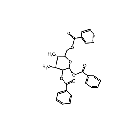 C[C@@H]1C(COC(=O)c2ccccc2)O[C@@H](OC(=O)c2ccccc2)C(OC(=O)c2ccccc2)[C@H]1C